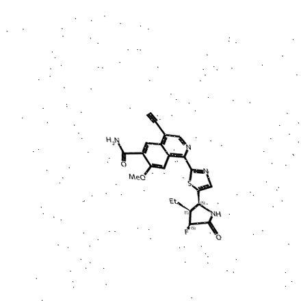 C#Cc1cnc(-c2ncc([C@H]3NC(=O)[C@@H](F)[C@H]3CC)s2)c2cc(OC)c(C(N)=O)cc12